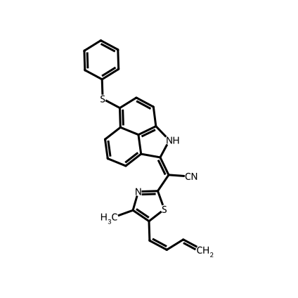 C=C/C=C\c1sc(/C(C#N)=c2/[nH]c3ccc(Sc4ccccc4)c4cccc2c34)nc1C